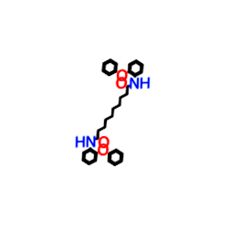 O=C(CCCCCCCCC(=O)Nc1ccccc1Oc1ccccc1)Nc1ccccc1Oc1ccccc1